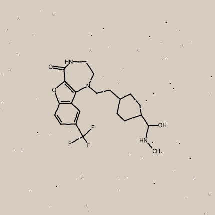 CNC(O)C1CCC(CCN2CCNC(=O)c3oc4ccc(C(F)(F)F)cc4c32)CC1